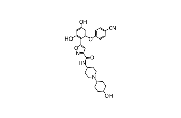 N#Cc1ccc(Oc2cc(O)cc(O)c2-c2cc(C(=O)NC3CCN(C4CCC(O)CC4)CC3)no2)cc1